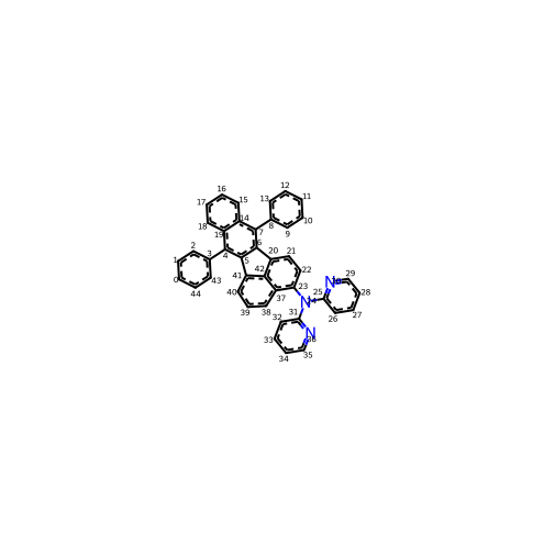 c1ccc(-c2c3c(c(-c4ccccc4)c4ccccc24)-c2ccc(N(c4ccccn4)c4ccccn4)c4cccc-3c24)cc1